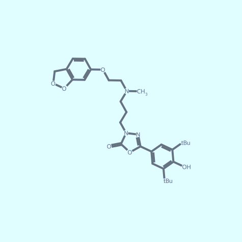 CN(CCCn1nc(-c2cc(C(C)(C)C)c(O)c(C(C)(C)C)c2)oc1=O)CCOc1ccc2c(c1)OOC2